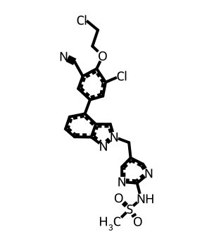 CS(=O)(=O)Nc1ncc(Cn2cc3c(-c4cc(Cl)c(OCCCl)c(C#N)c4)cccc3n2)cn1